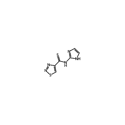 S=C(Nc1ncc[nH]1)c1csnn1